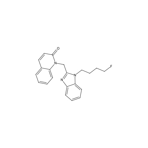 O=c1ccc2ccccc2n1Cc1nc2ccccc2n1CCCCF